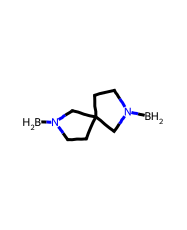 BN1CCC2(CCN(B)C2)C1